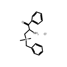 C[N+](C)(Cc1ccccc1)CC(N)C(=O)c1ccccc1.[Cl-]